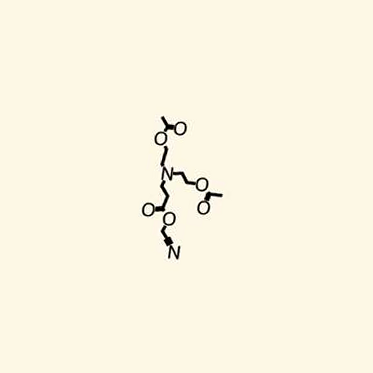 CC(=O)OCCN(CCOC(C)=O)CCC(=O)OCC#N